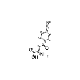 N#Cc1ccc(C(=O)C=C(N)C(=O)O)cc1